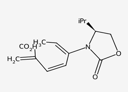 C=C(/C=C\C(=C/C)N1C(=O)OC[C@@H]1C(C)C)C(=O)O